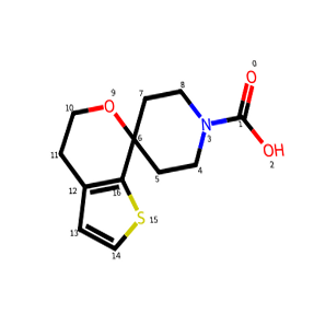 O=C(O)N1CCC2(CC1)OCCc1ccsc12